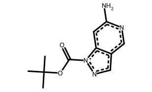 CC(C)(C)OC(=O)n1ncc2cnc(N)cc21